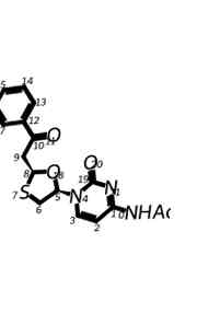 CC(=O)Nc1ccn([C@H]2CS[C@@H](CC(=O)c3ccccc3)O2)c(=O)n1